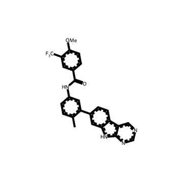 COc1ccc(C(=O)Nc2ccc(C)c(-c3ccc4c(c3)[nH]c3ncncc34)c2)cc1C(F)(F)F